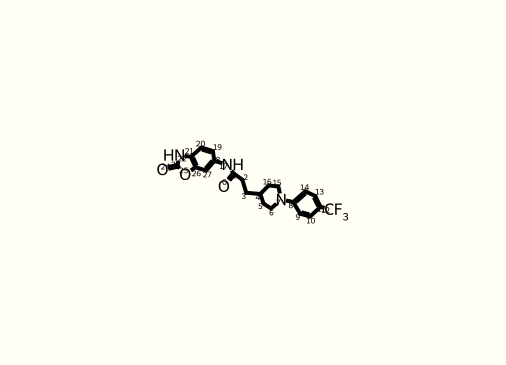 O=C(CCC1CCN(c2ccc(C(F)(F)F)cc2)CC1)Nc1ccc2[nH]c(=O)oc2c1